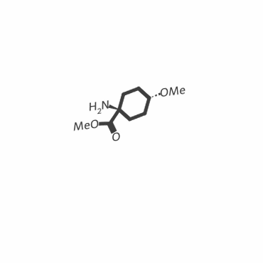 COC(=O)[C@]1(N)CC[C@H](OC)CC1